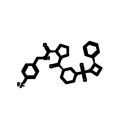 O=C(NCc1ccc(C(F)(F)F)cc1)[C@H]1CCCN1C(=O)[C@H]1CCCN(S(=O)(=O)N2CC[C@H]2c2ccccc2)C1